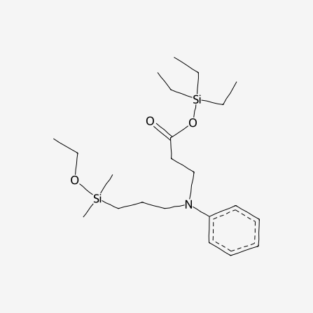 CCO[Si](C)(C)CCCN(CCC(=O)O[Si](CC)(CC)CC)c1ccccc1